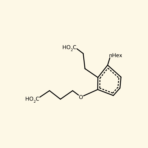 CCCCCCc1cccc(OCCCC(=O)O)c1CCC(=O)O